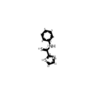 S=C(Nc1ccccc1)c1nccs1